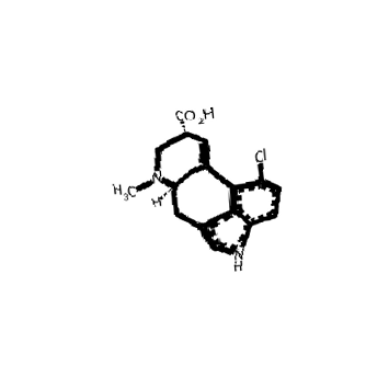 CN1C[C@H](C(=O)O)C=C2c3c(Cl)ccc4[nH]cc(c34)C[C@H]21